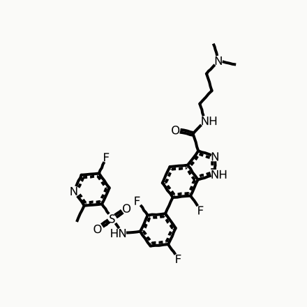 Cc1ncc(F)cc1S(=O)(=O)Nc1cc(F)cc(-c2ccc3c(C(=O)NCCCN(C)C)n[nH]c3c2F)c1F